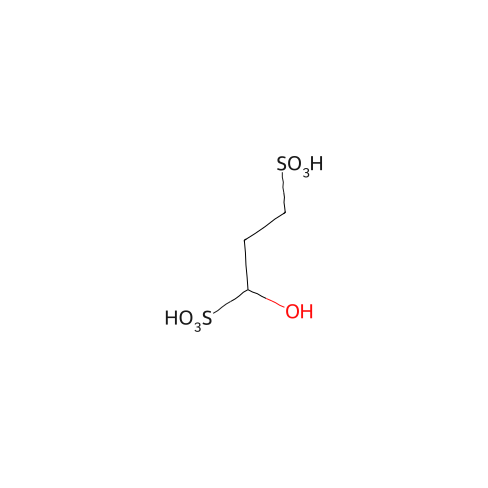 O=S(=O)(O)CCC(O)S(=O)(=O)O